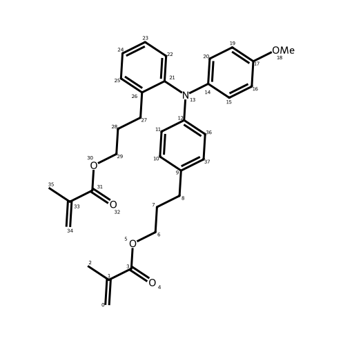 C=C(C)C(=O)OCCCc1ccc(N(c2ccc(OC)cc2)c2ccccc2CCCOC(=O)C(=C)C)cc1